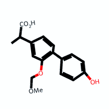 COCOc1cc(C(C)C(=O)O)ccc1-c1ccc(O)cc1